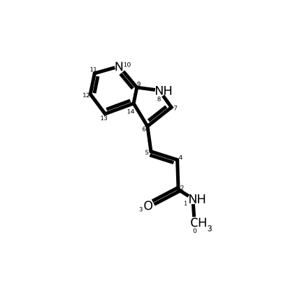 CNC(=O)C=Cc1c[nH]c2ncccc12